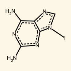 Nc1nc(N)c2ncn(I)c2n1